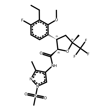 CCc1c(F)ccc([C@@H]2C[C@](C)(C(F)(F)F)O[C@H]2C(=O)Nc2cn(S(C)(=O)=O)nc2C)c1OC